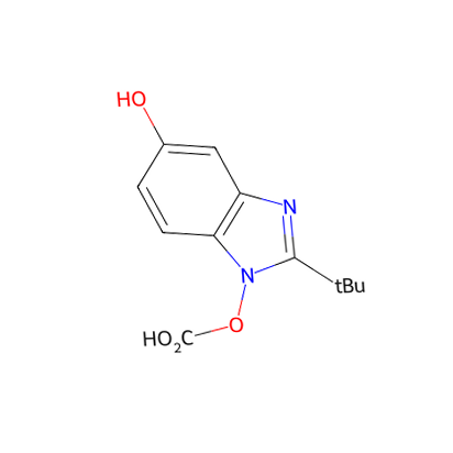 CC(C)(C)c1nc2cc(O)ccc2n1OC(=O)O